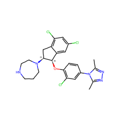 Cc1nnc(C)n1-c1ccc(O[C@@H]2c3cc(Cl)cc(Cl)c3C[C@@H]2N2CCCNCC2)c(Cl)c1